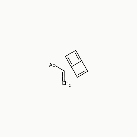 C=CC(C)=O.c1cc2ccc1-2